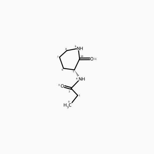 CCC(=O)N[C@@H]1CCCNC1=O